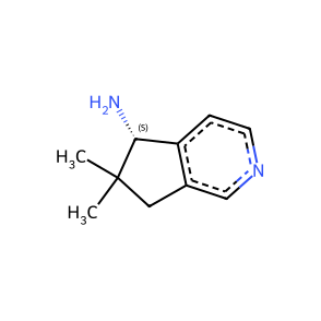 CC1(C)Cc2cnccc2[C@H]1N